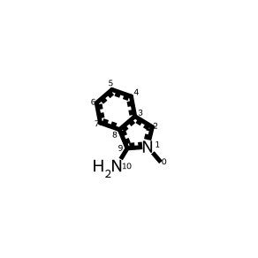 Cn1cc2ccccc2c1N